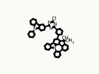 CC1(C)c2cccc3c2-c2c1c(-c1cccc(-c4nc(Cl)nc(-c5ccc6c(c5)c5ccccc5n6-c5ccccc5)n4)c1)cc1c4ccccc4n(c21)-c1ccccc1-3